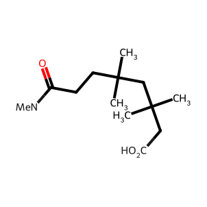 CNC(=O)CCC(C)(C)CC(C)(C)CC(=O)O